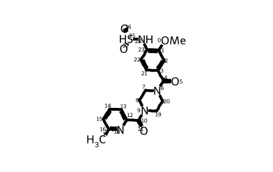 COc1cc(C(=O)N2CCN(C(=O)c3cccc(C)n3)CC2)ccc1N[SH](=O)=O